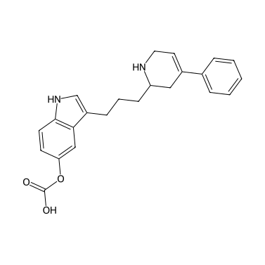 O=C(O)Oc1ccc2[nH]cc(CCCC3CC(c4ccccc4)=CCN3)c2c1